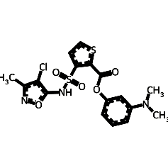 Cc1noc(NS(=O)(=O)c2ccsc2C(=O)Oc2cccc(N(C)C)c2)c1Cl